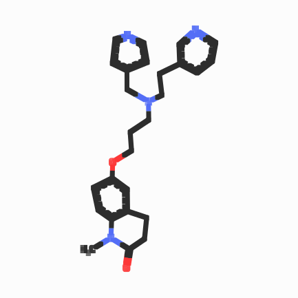 CN1C(=O)CCc2cc(OCCCN(CCc3cccnc3)Cc3ccncc3)ccc21